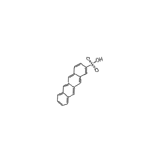 O=S(=O)(O)c1ccc2cc3cc4ccccc4cc3cc2c1